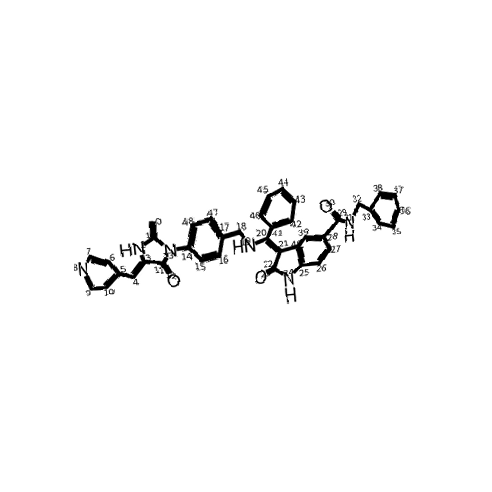 C=c1[nH]/c(=C\c2ccncc2)c(=O)n1-c1ccc(CN/C(=C2\C(=O)Nc3ccc(C(=O)NCc4ccccc4)cc32)c2ccccc2)cc1